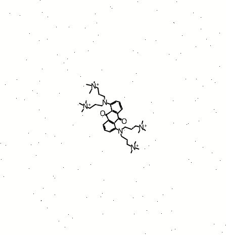 C[N+](C)(C)CCCN(CCC[N+](C)(C)C)c1cccc2c1C(=O)c1cccc(N(CCC[N+](C)(C)C)CCC[N+](C)(C)C)c1C2=O